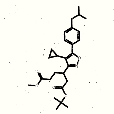 COC(=O)CCC(CC(=O)OC(C)(C)C)c1noc(-c2ccc(CC(C)C)cc2)c1C1CC1